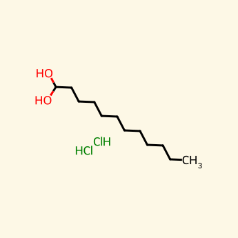 CCCCCCCCCCCC(O)O.Cl.Cl